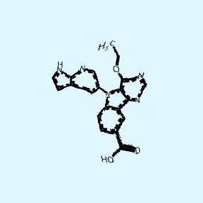 CCOc1ncnc2c3cc(C(=O)O)ccc3n(-c3cnc4[nH]ccc4c3)c12